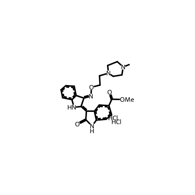 COC(=O)c1ccc2c(c1)/C(=C1/Nc3ccccc3/C1=N\OCCN1CCN(C)CC1)C(=O)N2.Cl.Cl